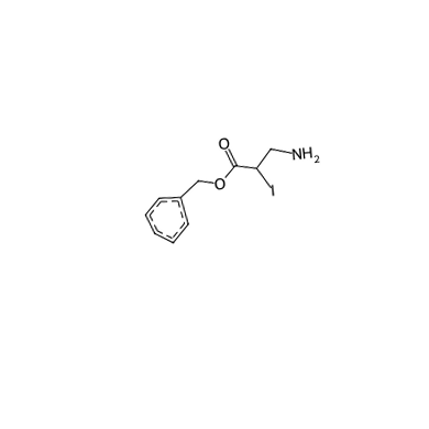 NCC(I)C(=O)OCc1ccccc1